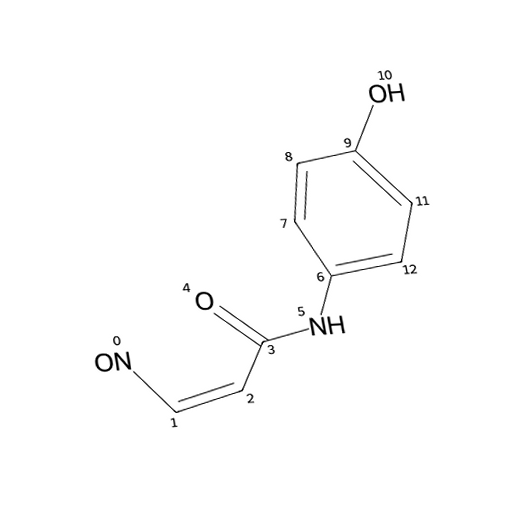 O=N/C=C\C(=O)Nc1ccc(O)cc1